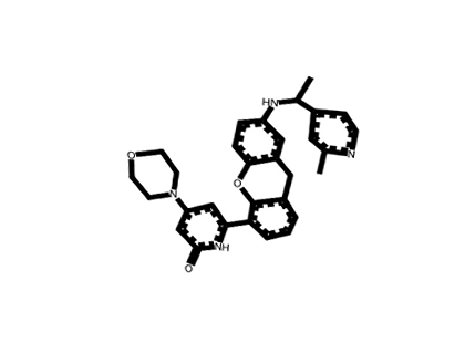 Cc1cc(C(C)Nc2ccc3c(c2)Cc2cccc(-c4cc(N5CCOCC5)cc(=O)[nH]4)c2O3)ccn1